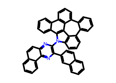 c1ccc2c(c1)-c1cccc3c4ccccc4c4c(c13)c1c-2cccc1n4-c1nc2ccc3ccccc3c2nc1-c1ccc2ccccc2c1